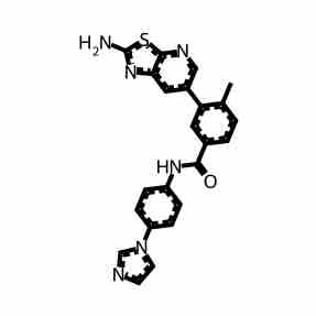 Cc1ccc(C(=O)Nc2ccc(-n3ccnc3)cc2)cc1-c1cnc2sc(N)nc2c1